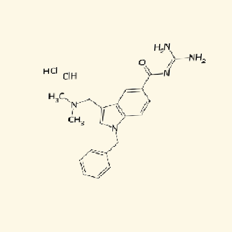 CN(C)Cc1cn(Cc2ccccc2)c2ccc(C(=O)N=C(N)N)cc12.Cl.Cl